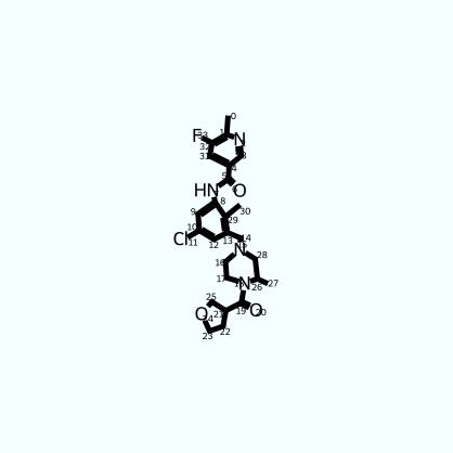 Cc1ncc(C(=O)Nc2cc(Cl)cc(CN3CCN(C(=O)C4CCOC4)C(C)C3)c2C)cc1F